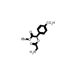 CC(C)(C)OC(=O)[C@H](OC(=O)CN)c1ccc(C(=O)O)cc1